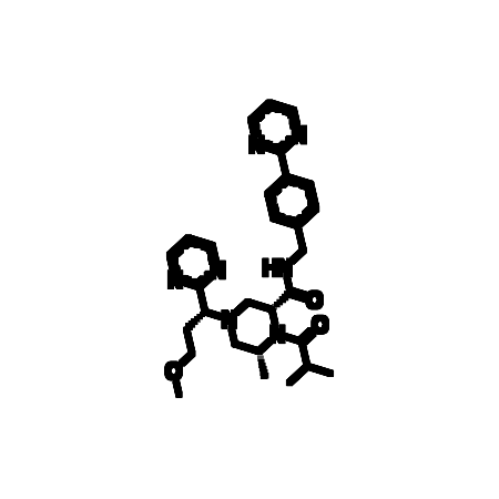 COCC[C@H](c1ncccn1)N1C[C@@H](C)N(C(=O)C(C)C)[C@@H](C(=O)NCc2ccc(-c3ncccn3)cc2)C1